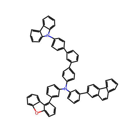 c1cc(-c2ccc(N(c3cccc(-c4ccc5c(ccc6ccccc65)c4)c3)c3cccc(-c4cccc5oc6ccccc6c45)c3)cc2)cc(-c2ccc(-n3c4ccccc4c4ccccc43)cc2)c1